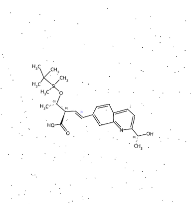 C[C@H](O[Si](C)(C)C(C)(C)C)[C@@H](/C=C/c1ccc2ccc([C@@H](C)O)nc2c1)C(=O)O